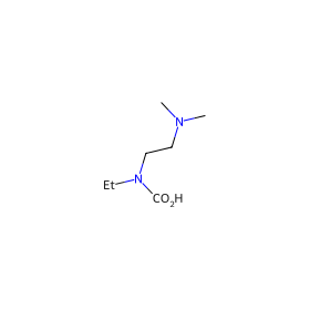 CCN(CCN(C)C)C(=O)O